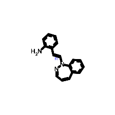 Nc1ccccc1/C=C/N1N=CC=Cc2ccccc21